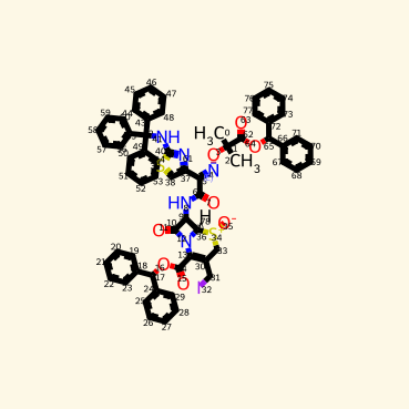 CC(C)(O/N=C(/C(=O)NC1C(=O)N2C(C(=O)OC(c3ccccc3)c3ccccc3)=C(CI)C[S+]([O-])[C@H]12)c1csc(NC(c2ccccc2)(c2ccccc2)c2ccccc2)n1)C(=O)OC(c1ccccc1)c1ccccc1